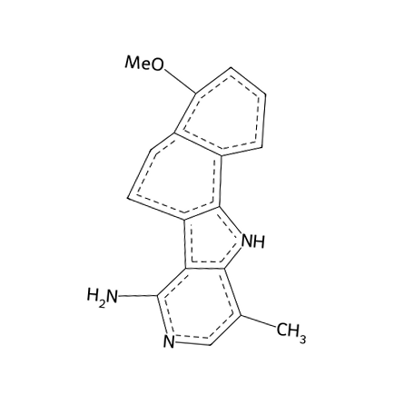 COc1cccc2c1ccc1c2[nH]c2c(C)cnc(N)c21